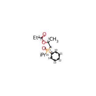 CCC(=O)OC(C)CP(=O)(c1ccccc1)C(C)C